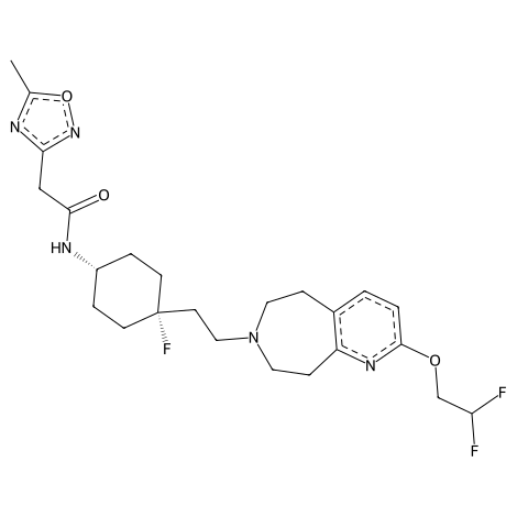 Cc1nc(CC(=O)N[C@H]2CC[C@](F)(CCN3CCc4ccc(OCC(F)F)nc4CC3)CC2)no1